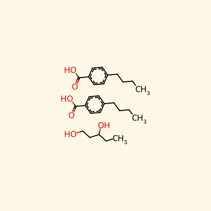 CCC(O)CCO.CCCCc1ccc(C(=O)O)cc1.CCCCc1ccc(C(=O)O)cc1